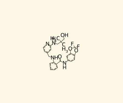 CC(C)(CO)CNc1cc(CNc2ccccc2C(=O)Nc2ccc3c(c2)OC(F)(F)O3)ccn1